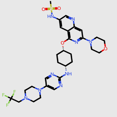 CS(=O)(=O)Nc1cnc2cc(N3CCOCC3)nc(O[C@H]3CC[C@@H](Nc4ncc(N5CCN(CC(F)(F)F)CC5)cn4)CC3)c2c1